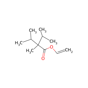 C=COC(=O)C(C)(C(C)C)C(C)C